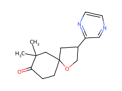 CC1(C)CC2(CCC1=O)CC(c1cnccn1)CO2